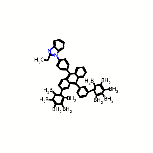 Bc1c(B)c(B)c(-c2cccc(-c3c4ccccc4c(-c4ccc(-n5c(CC)nc6ccccc65)cc4)c4ccc(-c5c(B)c(B)c(B)c(B)c5B)cc34)c2)c(B)c1B